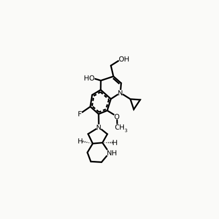 COc1c(N2C[C@@H]3CCCN[C@@H]3C2)c(F)cc2c1N(C1CC1)C=C(CO)C2O